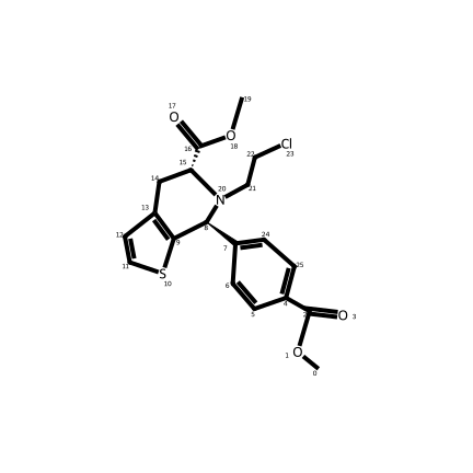 COC(=O)c1ccc([C@H]2c3sccc3C[C@H](C(=O)OC)N2CCCl)cc1